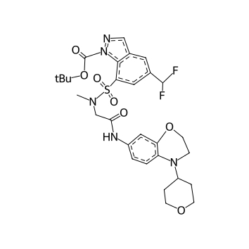 CN(CC(=O)Nc1ccc2c(c1)OCCN2C1CCOCC1)S(=O)(=O)c1cc(C(F)F)cc2cnn(C(=O)OC(C)(C)C)c12